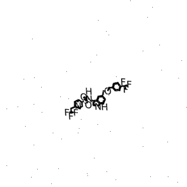 O=S(=O)(Nc1c[nH]c2ccc(COCc3ccc(C(F)(F)F)cc3)cc12)C1CC2CCC1CN2CC(F)(F)F